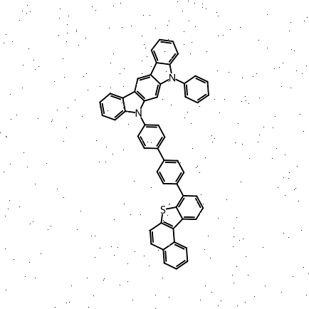 c1ccc(-n2c3ccccc3c3cc4c5ccccc5n(-c5ccc(-c6ccc(-c7cccc8c7sc7ccc9ccccc9c78)cc6)cc5)c4cc32)cc1